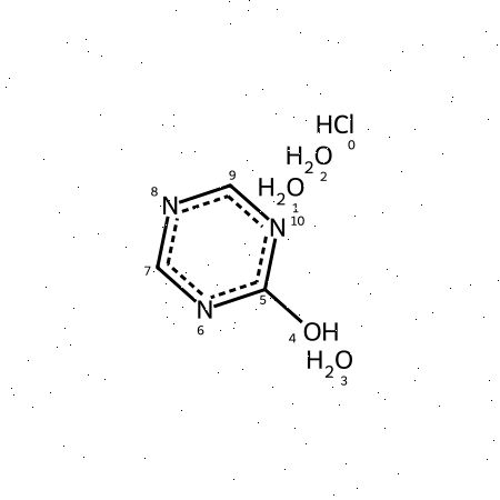 Cl.O.O.O.Oc1ncncn1